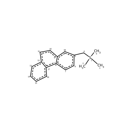 CS(C)(C)Cc1ccc2c(ccc3ccccc32)c1